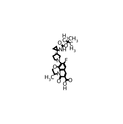 CC1COc2c(N3CC[C@@H](C4(NC(=O)OC(C)(C)C)CC4)C3)c(F)cc3cc(C(=O)O)c(=O)n1c23